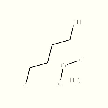 CCCCCCl.ClOCl.S